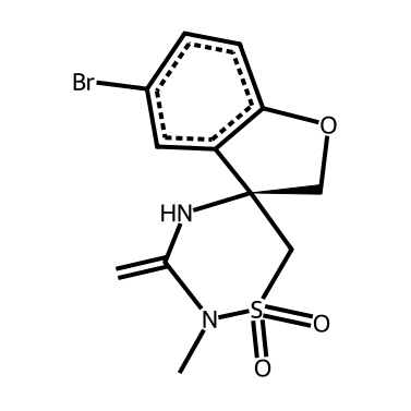 C=C1N[C@@]2(COc3ccc(Br)cc32)CS(=O)(=O)N1C